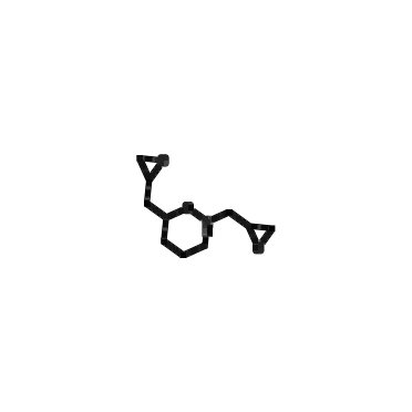 C1CC(CC2CO2)O[SiH](CC2CO2)C1